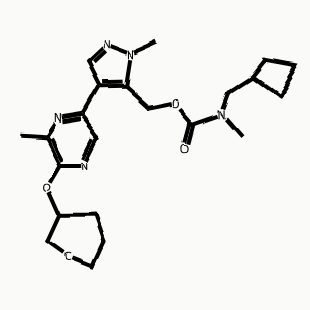 Cc1nc(-c2cnn(C)c2COC(=O)N(C)CC2CCC2)cnc1OC1CCCCC1